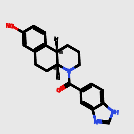 O=C(c1ccc2[nH]cnc2c1)N1CCC[C@@H]2c3ccc(O)cc3CC[C@H]21